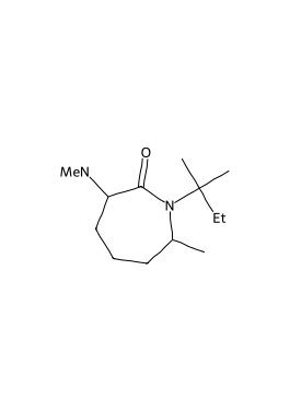 CCC(C)(C)N1C(=O)C(NC)CCCC1C